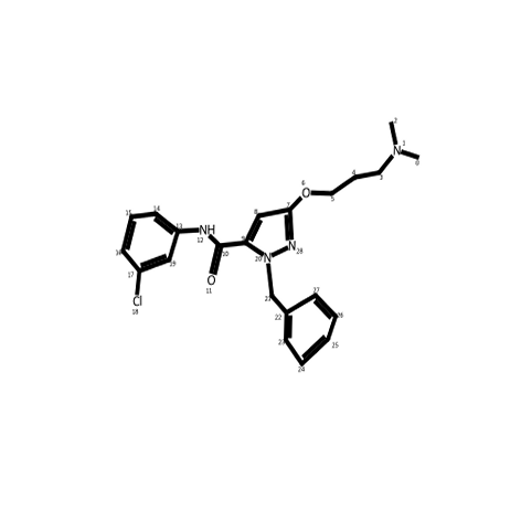 CN(C)CCCOc1cc(C(=O)Nc2cccc(Cl)c2)n(Cc2ccccc2)n1